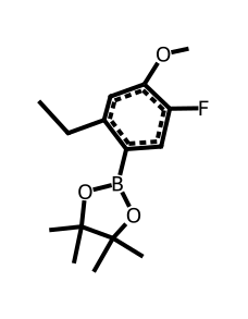 CCc1cc(OC)c(F)cc1B1OC(C)(C)C(C)(C)O1